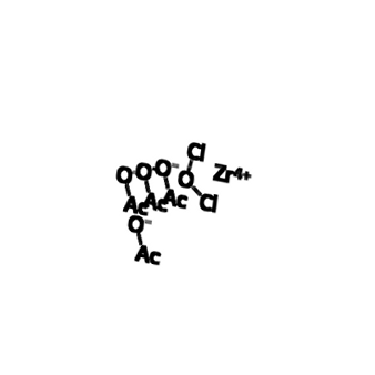 CC(=O)[O-].CC(=O)[O-].CC(=O)[O-].CC(=O)[O-].ClOCl.[Zr+4]